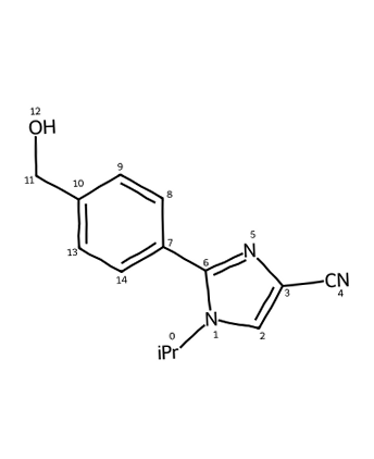 CC(C)n1cc(C#N)nc1-c1ccc(CO)cc1